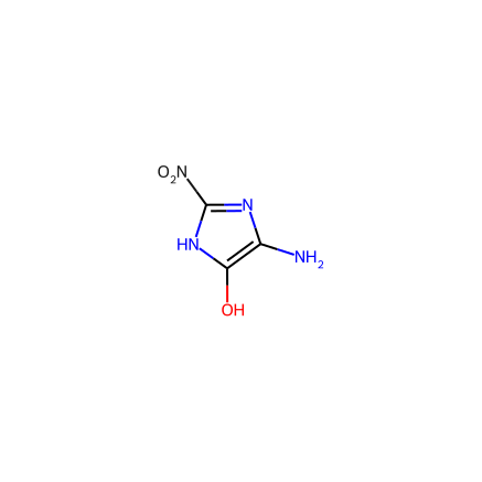 Nc1nc([N+](=O)[O-])[nH]c1O